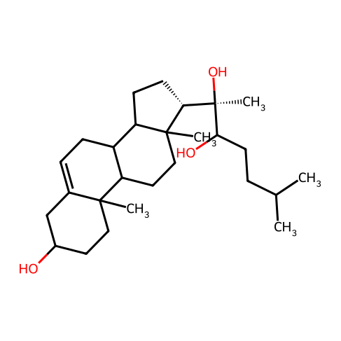 CC(C)CCC(O)[C@](C)(O)[C@H]1CCC2C3CC=C4CC(O)CCC4(C)C3CCC21C